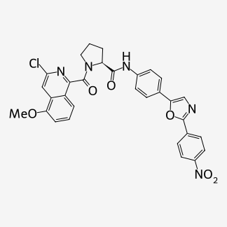 COc1cccc2c(C(=O)N3CCC[C@H]3C(=O)Nc3ccc(-c4cnc(-c5ccc([N+](=O)[O-])cc5)o4)cc3)nc(Cl)cc12